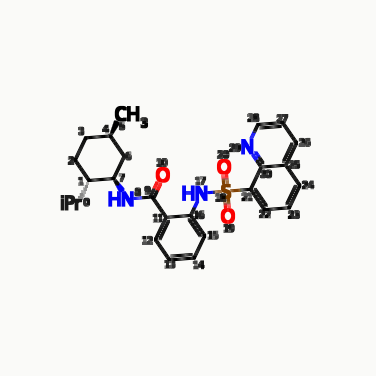 CC(C)[C@@H]1CC[C@@H](C)C[C@H]1NC(=O)c1ccccc1NS(=O)(=O)c1cccc2cccnc12